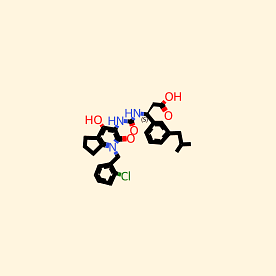 CC(C)Cc1cccc([C@H](CC(=O)O)NC(=O)Nc2c(O)c3c(n(Cc4ccccc4Cl)c2=O)CCC3)c1